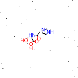 CC(=O)N[C@@H](CO)C(=O)O.c1c[nH]cn1